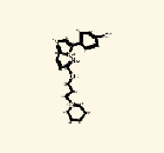 Clc1ccc(-c2cnc3ccc(OCCCN4CCCCC4)nn23)cc1